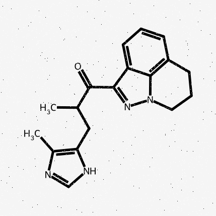 Cc1nc[nH]c1CC(C)C(=O)c1nn2c3c(cccc13)CCC2